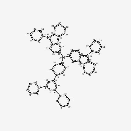 c1ccc(-c2cc(-c3ccccc3)cc(-c3ccc(N(c4ccc5c(c4)c4ccccc4n5-c4ccccc4)c4ccc5c(c4)c4ccccc4n5-c4ccccc4)cc3)c2)cc1